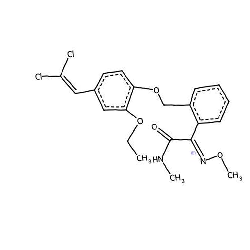 CCOc1cc(C=C(Cl)Cl)ccc1OCc1ccccc1/C(=N\OC)C(=O)NC